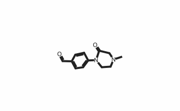 CN1CCN(c2ccc(C=O)cc2)C(=O)C1